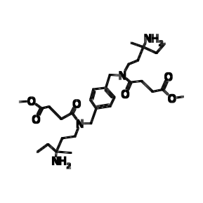 CCC(C)(N)CCN(Cc1ccc(CN(CCC(C)(N)CC)C(=O)CCC(=O)OC)cc1)C(=O)CCC(=O)OC